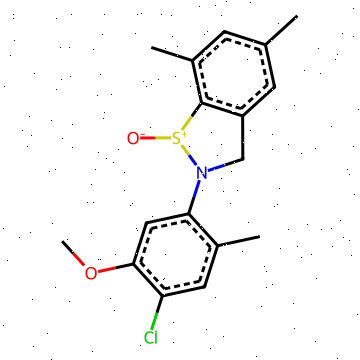 COc1cc(N2Cc3cc(C)cc(C)c3[S+]2[O-])c(C)cc1Cl